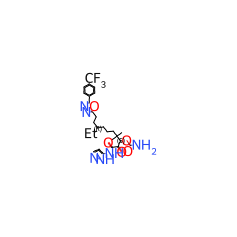 CC[C@H](CCCC(C)(C)[C@H](OC(N)=O)C(=O)C(=O)Nc1ccn[nH]1)CCc1nnc(-c2ccc(C(F)(F)F)cc2)o1